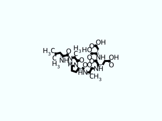 CC(C)C[C@H](N)C(=O)N[C@@H](C)C(=O)N1CCC[C@H]1C(=O)N[C@@H](C)C(=O)N[C@@H](CCC(=O)O)C(=O)N[C@@H](CC(=O)O)C(=O)O